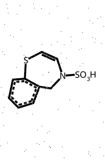 O=S(=O)(O)N1C=CSc2ccccc2C1